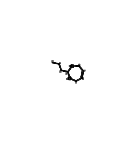 CCCC1OCC=CCO1